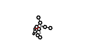 c1ccc(-c2ccc(N(c3ccc4c(c3)Sc3c(ccc5ccccc35)C43c4ccccc4-c4ccccc43)c3ccc(-c4ccccc4)cc3-c3ccccc3)cc2)cc1